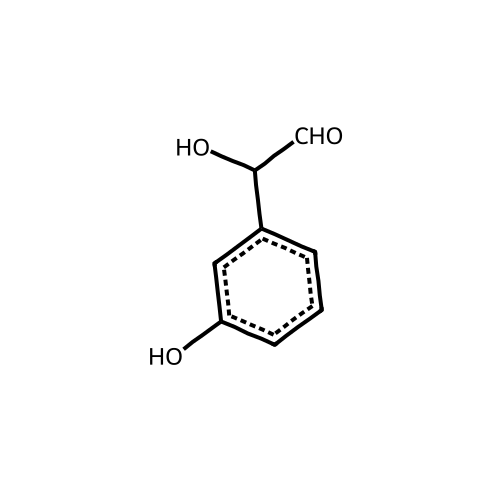 O=CC(O)c1cccc(O)c1